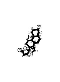 CC[C@]12CCC3C(C=CC4=CC(=O)CC[C@@H]43)C1CC[C@@]21C=CC(=O)O1